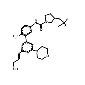 Cc1ccc(NC(=O)N2CC[C@@H](CC(F)(F)F)C2)cc1-c1cc(/C=C/CO)nc(N2CCOCC2)c1